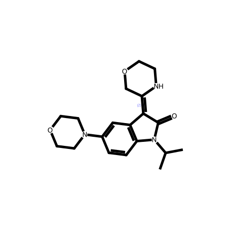 CC(C)N1C(=O)/C(=C2/COCCN2)c2cc(N3CCOCC3)ccc21